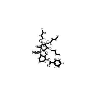 CCCCOC1C(OC2C(N=[N+]=[N-])CCC[C@H]2OC(=O)c2ccccc2)OC(C)[C@@H](OCCCC)C1OCCCC